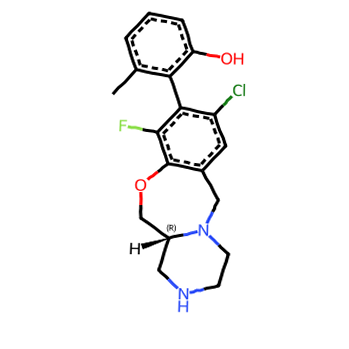 Cc1cccc(O)c1-c1c(Cl)cc2c(c1F)OC[C@H]1CNCCN1C2